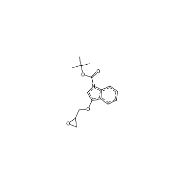 CC(C)(C)OC(=O)n1cc(OCC2CO2)c2ccccc21